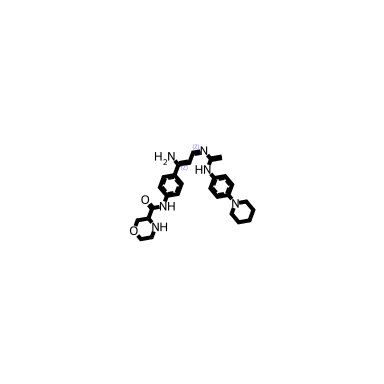 C=C(/N=C\C=C(/N)c1ccc(NC(=O)C2COCCN2)cc1)Nc1ccc(N2CCCCC2)cc1